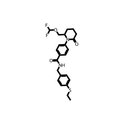 CCSc1ccc(CNC(=O)c2ccc(N3C(=O)CCCC3COC(F)F)cc2)cc1